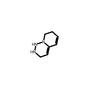 C1=CC2=CCNNN2CC1